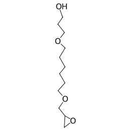 OCCCOCCCCCCOCC1CO1